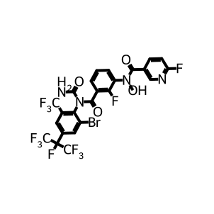 NC(=O)N(C(=O)c1cccc(N(O)C(=O)c2ccc(F)nc2)c1F)c1c(Br)cc(C(F)(C(F)(F)F)C(F)(F)F)cc1C(F)(F)F